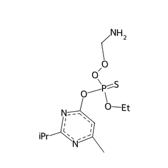 CCOP(=S)(OOCN)Oc1cc(C)nc(C(C)C)n1